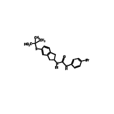 CCN(C(=O)Nc1ccc(C(C)C)cc1)C1Cc2ccc(SC(C)(C)C(=O)O)cc2C1